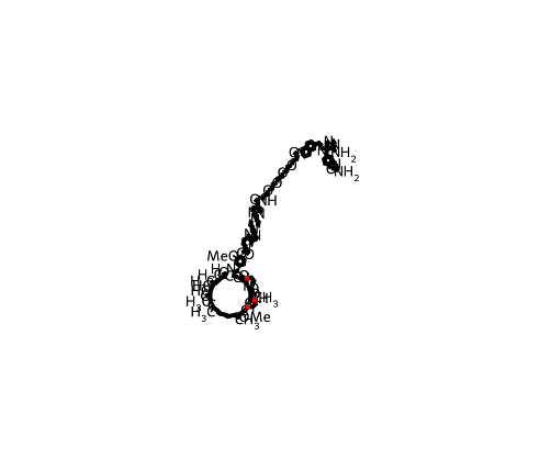 CO[C@H]1C[C@@H]2CC[C@@H](C)[C@@](O)(O2)C(=O)C(=O)N2CCCC[C@H]2C(=O)O[C@H]([C@H](N)C[C@@H]2CC[C@@H](OC(=O)N3CCc4nc(N5CCN(c6ncc(C(=O)NCCOCCOCCOCCOCCC(=O)N7CCc8cc(Cn9nc(-c%10ccc%11oc(N)nc%11c%10)c%10c(N)ncnc%109)ccc8C7)cn6)CC5)ncc4C3)[C@H](OC)C2)CC(=O)[C@H](C)/C=C(\C)[C@@H](O)[C@@H](O)C(=O)[C@H](C)C[C@H](C)/C=C/C=C/C=C/1C